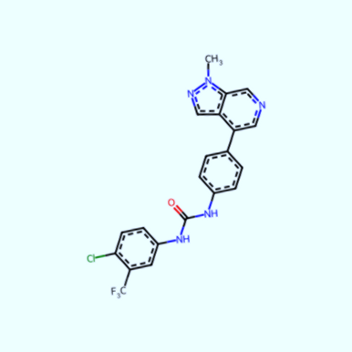 Cn1ncc2c(-c3ccc(NC(=O)Nc4ccc(Cl)c(C(F)(F)F)c4)cc3)cncc21